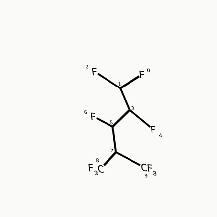 FC(F)C(F)C(F)C(C(F)(F)F)C(F)(F)F